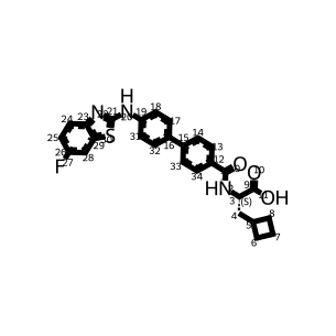 O=C(N[C@@H](CC1CCC1)C(=O)O)c1ccc(-c2ccc(Nc3nc4ccc(F)cc4s3)cc2)cc1